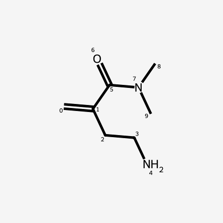 C=C(CCN)C(=O)N(C)C